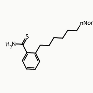 CCCCCCCCCCCCCCCc1ccccc1C(N)=S